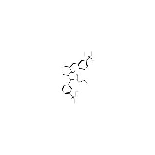 CCCN1N=C2/C(=C\c3cccc(C(F)(F)F)c3)CSCC2C1c1cccc(C(F)(F)F)c1